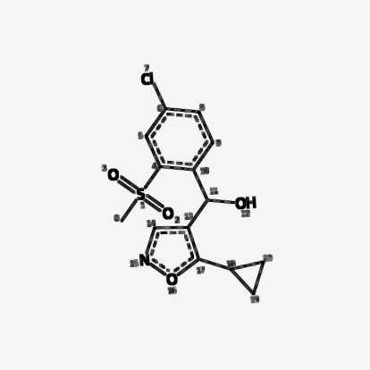 CS(=O)(=O)c1cc(Cl)ccc1C(O)c1cnoc1C1CC1